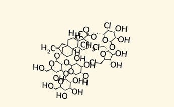 C=C1C[C@@]23CC[C@H]4[C@@](C)(CCC[C@@]4(C)C(=O)OC[C@H]4O[C@H](O[C@]5(CCl)O[C@H](CCl)[C@@H](O)[C@@H]5O)[C@H](O)[C@@H](O)[C@H]4Cl)[C@@H]2CC[C@]1(O[C@@H]1O[C@H](CO)[C@@H](O)[C@H](O[C@@H]2O[C@H](CO)[C@@H](O)[C@H](O)[C@H]2O)[C@H]1O[C@@H]1OC[C@@H](O)[C@H](O)[C@H]1O)C3